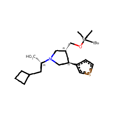 CC(C)(C)[Si](C)(C)OC[C@H]1CN([C@H](CC2CCC2)C(=O)O)C[C@@H]1c1ccsc1